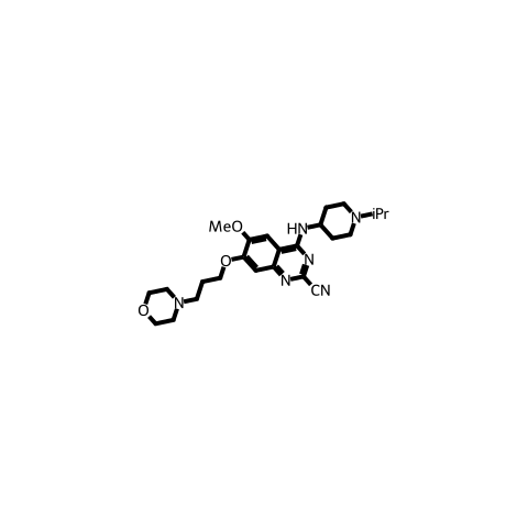 COc1cc2c(NC3CCN(C(C)C)CC3)nc(C#N)nc2cc1OCCCN1CCOCC1